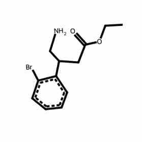 CCOC(=O)CC(CN)c1ccccc1Br